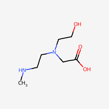 CNCCN(CCO)CC(=O)O